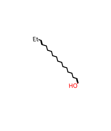 CCC=CCCCCCCCCCCCC/C=C\O